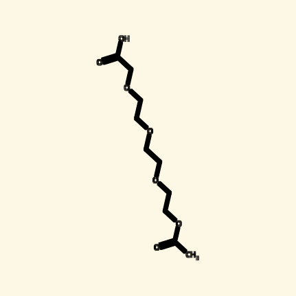 CC(=O)OCCOCCOCCOCC(=O)O